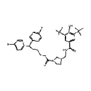 CC(C)(C)c1cc(C(=O)NCC2CCN(C(=O)CCCCC(c3ccc(F)cc3)c3ccc(F)cc3)C2)cc(C(C)(C)C)c1O